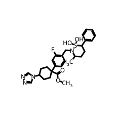 COC(=O)C1(c2ccc(CN3C(C)CCC(c4ccccc4)S3(O)O)c(F)c2)CCC(n2cnnc2)CC1